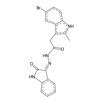 Cc1[nH]c2ccc(Br)cc2c1CC(=O)N/N=C1\C(=O)Nc2ccccc21